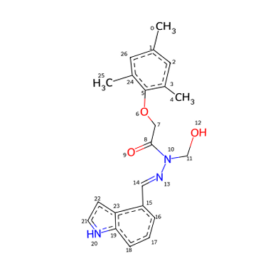 Cc1cc(C)c(OCC(=O)N(CO)N=Cc2cccc3[nH]ccc23)c(C)c1